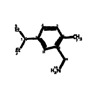 CCN(CC)c1ccc(C)c(CN)c1